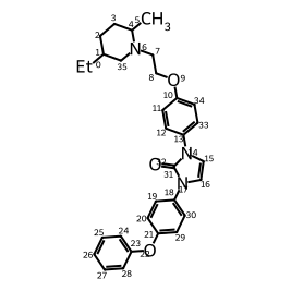 CCC1CCC(C)N(CCOc2ccc(-n3ccn(-c4ccc(Oc5ccccc5)cc4)c3=O)cc2)C1